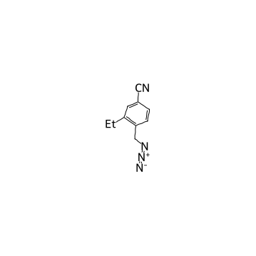 CCc1cc(C#N)ccc1CN=[N+]=[N-]